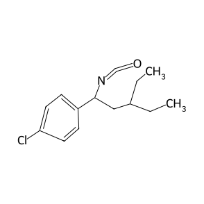 CCC(CC)CC(N=C=O)c1ccc(Cl)cc1